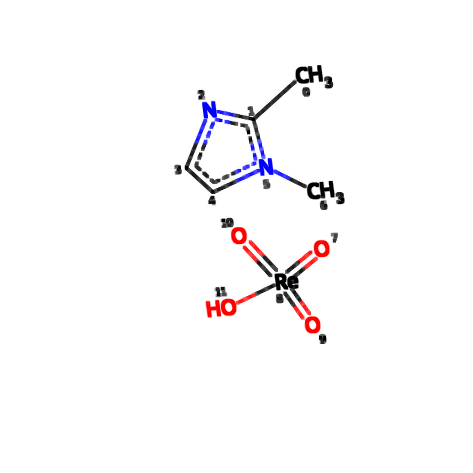 Cc1nccn1C.[O]=[Re](=[O])(=[O])[OH]